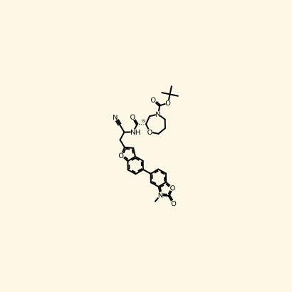 Cn1c(=O)oc2ccc(-c3ccc4oc(CC(C#N)NC(=O)[C@@H]5CN(C(=O)OC(C)(C)C)CCCO5)cc4c3)cc21